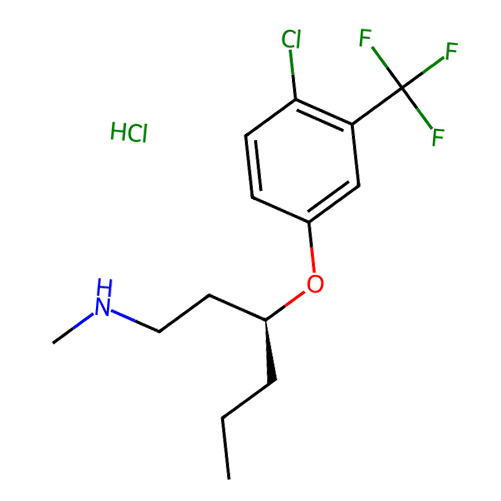 CCC[C@@H](CCNC)Oc1ccc(Cl)c(C(F)(F)F)c1.Cl